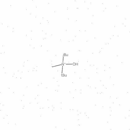 CCC(C)[N+](C)(O)C(C)(C)C